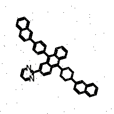 c1cnc(-c2ccc3c(C4CCC(c5ccc6ccccc6c5)CC4)c4ccccc4c(-c4ccc(-c5ccc6ccccc6c5)cc4)c3c2)nc1